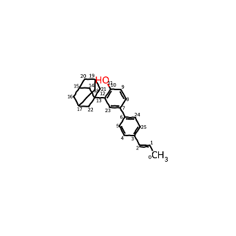 C/C=C/c1ccc(-c2ccc(O)c(C34CC5CC(CC(C5)C3)C4)c2)cc1